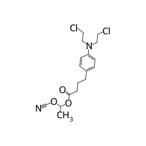 CC(OC#N)OC(=O)CCCc1ccc(N(CCCl)CCCl)cc1